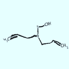 C=CCN(CC=C)SO